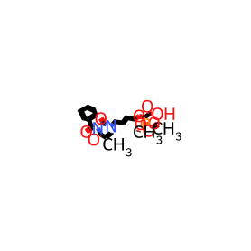 COP(=O)(OC)C(OCC=CCn1cc(C)c(=O)n(C(=O)c2ccccc2)c1=O)C(=O)O